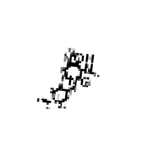 CCN1CCC(CN2CCc3ncoc3C(NC)C2=O)CC1